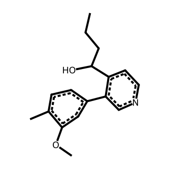 CCCC(O)c1ccncc1-c1ccc(C)c(OC)c1